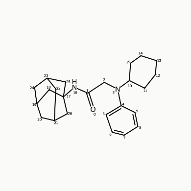 O=C(CN(c1ccccc1)C1CCCCC1)NC12CC3CC(CC(C3)C1)C2